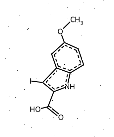 COc1ccc2[nH]c(C(=O)O)c(I)c2c1